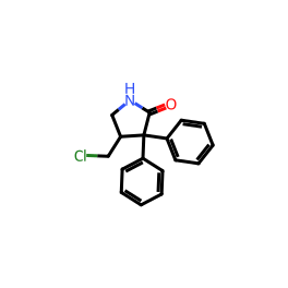 O=C1NCC(CCl)C1(c1ccccc1)c1ccccc1